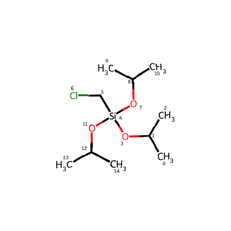 CC(C)O[Si](CCl)(OC(C)C)OC(C)C